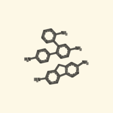 Nc1ccc(-c2ccc(N)cc2-c2ccccc2N)cc1.Nc1ccc2c(c1)Cc1cc(N)ccc1-2